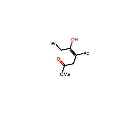 COC(=O)C/C(C(C)=O)=C(/O)CC(C)C